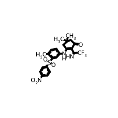 Cc1ccc(NC2=C(C(=N)C(F)(F)F)C(=O)CC(C)(C)C2)cc1S(=O)(=O)c1ccc([N+](=O)[O-])cc1